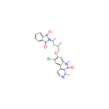 Cc1nccc2c1c(=O)n(C)c1cc(OCC(C)CC(C)N3C(=O)c4ccccc4C3=O)c(Br)cc21